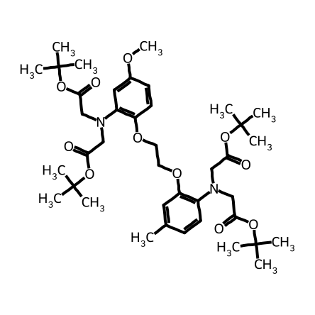 COc1ccc(OCCOc2cc(C)ccc2N(CC(=O)OC(C)(C)C)CC(=O)OC(C)(C)C)c(N(CC(=O)OC(C)(C)C)CC(=O)OC(C)(C)C)c1